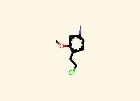 COc1cc(I)ccc1CCCl